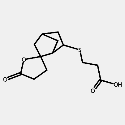 O=C(O)CCSC1CC2CC1C1(CCC(=O)O1)C2